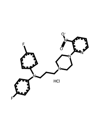 Cl.O=[N+]([O-])c1cccnc1N1CCN(CCCN(c2ccc(F)cc2)c2ccc(F)cc2)CC1